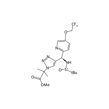 COC(=O)C(C)(C)n1cc([C@H](N[S+]([O-])C(C)(C)C)c2ccc(OCC(F)(F)F)cn2)nn1